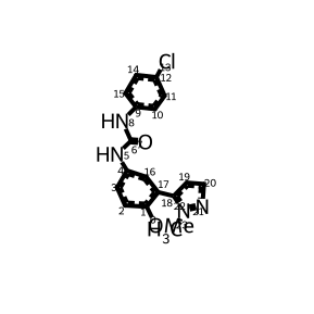 COc1ccc(NC(=O)Nc2ccc(Cl)cc2)cc1-c1ccnn1C